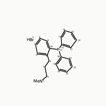 Br.CNCCCc1ccccc1P(c1ccccc1)c1ccccc1